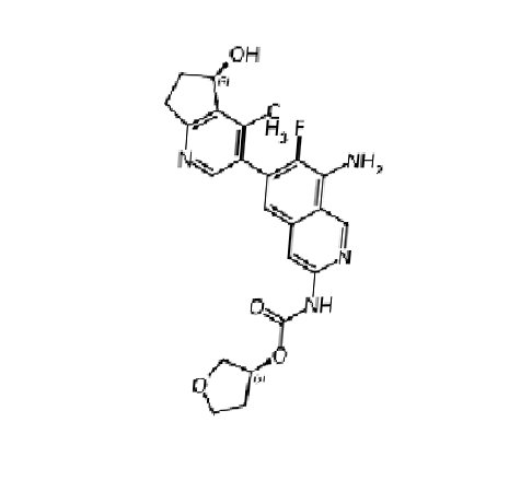 Cc1c(-c2cc3cc(NC(=O)O[C@H]4CCOC4)ncc3c(N)c2F)cnc2c1[C@H](O)CC2